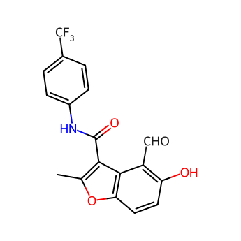 Cc1oc2ccc(O)c(C=O)c2c1C(=O)Nc1ccc(C(F)(F)F)cc1